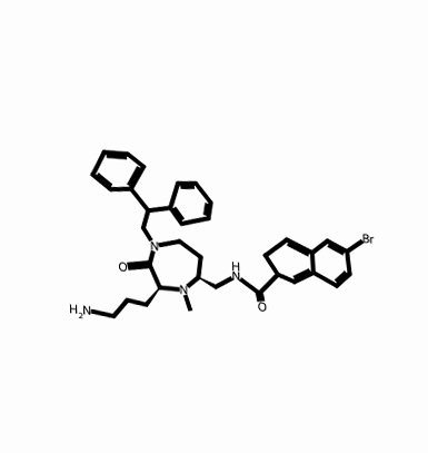 CN1[C@H](CNC(=O)C2C=c3ccc(Br)cc3=CC2)CCN(CC(c2ccccc2)c2ccccc2)C(=O)[C@@H]1CCCN